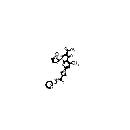 Cc1cc(N2CC(C(=O)NC[C@H]3CCCCO3)C2)nc2c1c(=O)c(C(=O)O)cn2C1SC=CN1C